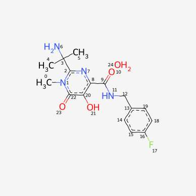 Cn1c(C(C)(C)N)nc(C(=O)NCc2ccc(F)cc2)c(O)c1=O.O